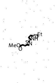 CCOC[C@@H]1CC[C@@H](c2ncc(CCC(=O)OC)s2)N1